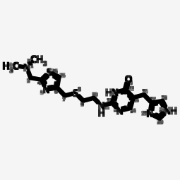 CN(C)Cc1nc(CSCCNc2ncc(Cc3c[nH]cn3)c(=O)[nH]2)cs1